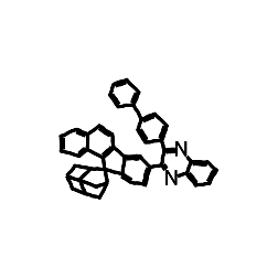 c1ccc(-c2ccc(-c3nc4ccccc4nc3-c3ccc4c(c3)-c3ccc5ccccc5c3C43C4CC5CC(C4)CC3C5)cc2)cc1